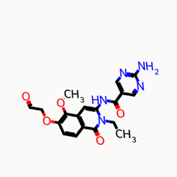 CCn1c(NC(=O)c2cnc(N)nc2)cc2c(OC)c(OCC=O)ccc2c1=O